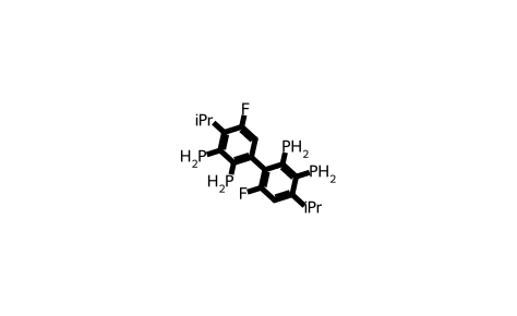 CC(C)c1cc(F)c(-c2cc(F)c(C(C)C)c(P)c2P)c(P)c1P